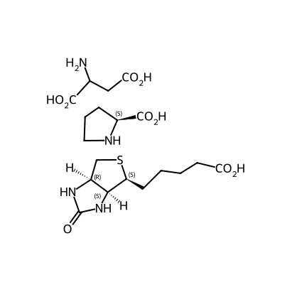 NC(CC(=O)O)C(=O)O.O=C(O)CCCC[C@@H]1SC[C@@H]2NC(=O)N[C@@H]21.O=C(O)[C@@H]1CCCN1